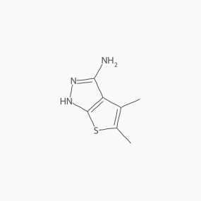 Cc1sc2[nH]nc(N)c2c1C